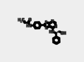 C=CC(=O)Nc1ccc(-c2nc3c(N[C@H](CO)c4ccccc4)ncnc3s2)cc1